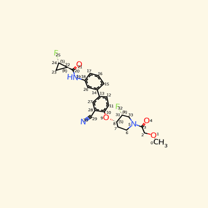 COCC(=O)N1CC[C@H](Oc2ccc(-c3cccc(NC(=O)[C@H]4C[C@@H]4F)c3)cc2C#N)[C@H](F)C1